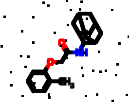 Cc1ccccc1OCC(=O)NC1C2CC3CC(C2)CC1C3